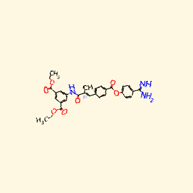 CCOC(=O)c1cc(NC(=O)/C(C)=C/c2ccc(C(=O)Oc3ccc(C(=N)N)cc3)cc2)cc(C(=O)OCC)c1